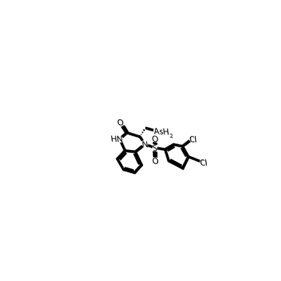 O=C1Nc2ccccc2N(S(=O)(=O)c2ccc(Cl)c(Cl)c2)[C@H]1C[AsH2]